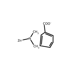 C[N](C)[Zn+].O=C([O-])c1ccccc1